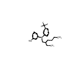 CCCCC(CC)CN(c1cccc(O)c1)c1cccc(C(F)(F)F)c1